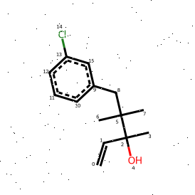 [CH]=CC(C)(O)C(C)(C)Cc1cccc(Cl)c1